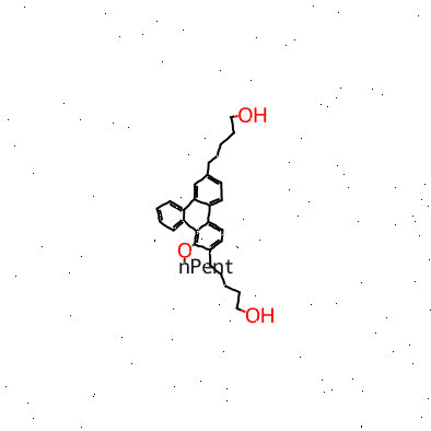 CCCCCOc1c(CCCCCO)ccc2c3ccc(CCCCCO)cc3c3ccccc3c12